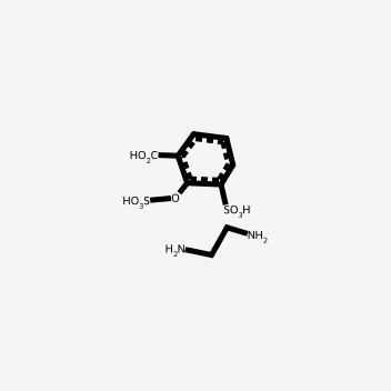 NCCN.O=C(O)c1cccc(S(=O)(=O)O)c1OS(=O)(=O)O